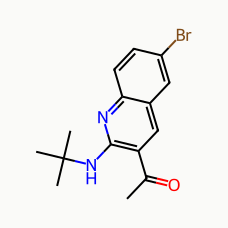 CC(=O)c1cc2cc(Br)ccc2nc1NC(C)(C)C